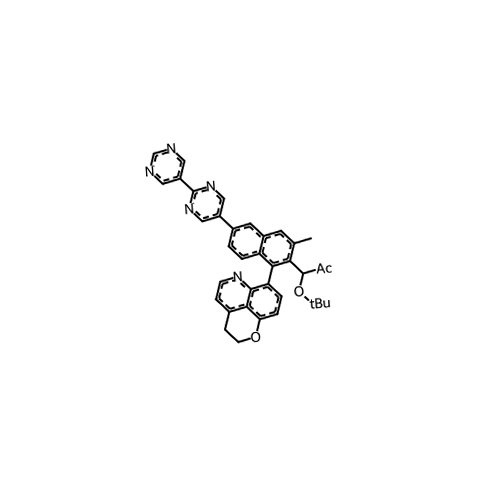 CC(=O)C(OC(C)(C)C)c1c(C)cc2cc(-c3cnc(-c4cncnc4)nc3)ccc2c1-c1ccc2c3c(ccnc13)CCO2